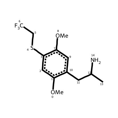 COc1cc(SCC(F)(F)F)c(OC)cc1CC(C)N